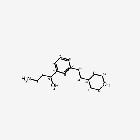 NCCC(O)c1cccc(CCC2CCOCC2)c1